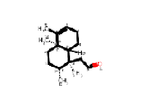 CC1=CCC[C@@H]2[C@@](C)(CC=O)[C@H](C)CC[C@@]12C